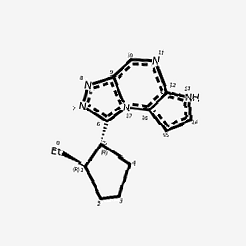 CC[C@@H]1CCC[C@H]1c1nnc2cnc3[nH]ccc3n12